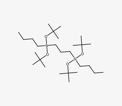 CCCC[Si](CCC[Si](CCCC)(OC(C)(C)C)OC(C)(C)C)(OC(C)(C)C)OC(C)(C)C